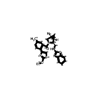 CCOc1nc(-c2ccc(C)cc2C(=O)N2C[C@H]3C[C@H]3[C@H]2CNc2nc3ccccc3o2)cs1